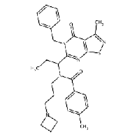 CCC(c1nc2snc(C)c2c(=O)n1Cc1ccccc1)N(CCCN1CCC1)C(=O)c1ccc(C)cc1